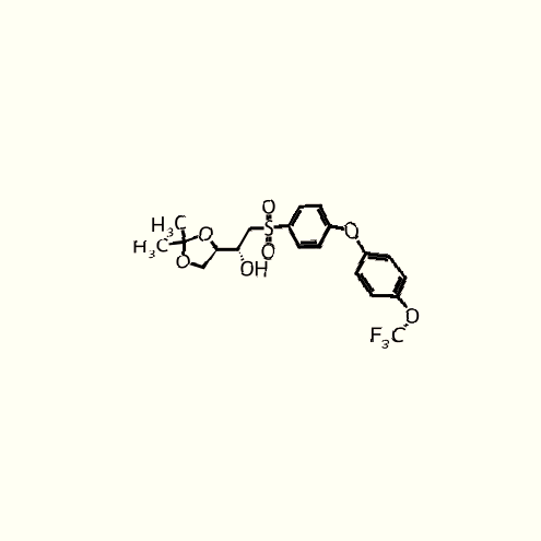 CC1(C)OC[C@H]([C@@H](O)CS(=O)(=O)c2ccc(Oc3ccc(OC(F)(F)F)cc3)cc2)O1